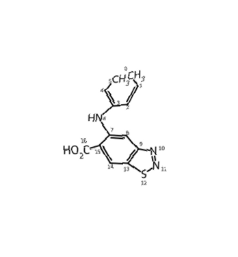 C/C=C\C(=C/C)Nc1cc2nnsc2cc1C(=O)O